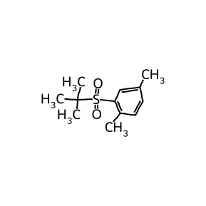 Cc1ccc(C)c(S(=O)(=O)C(C)(C)C)c1